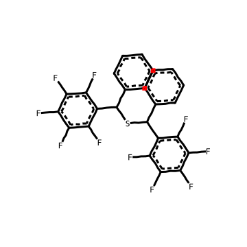 Fc1c(F)c(F)c(C(SC(c2ccccc2)c2c(F)c(F)c(F)c(F)c2F)c2ccccc2)c(F)c1F